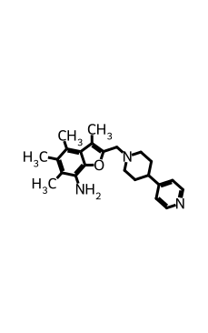 Cc1c(C)c(C)c2c(C)c(CN3CCC(c4ccncc4)CC3)oc2c1N